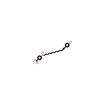 COC(=O)c1ccc(NCCCCCCCCCCCC#Cc2ccc(Cl)cc2)cc1